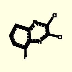 Fc1cccc2nc(Cl)c(Cl)nc12